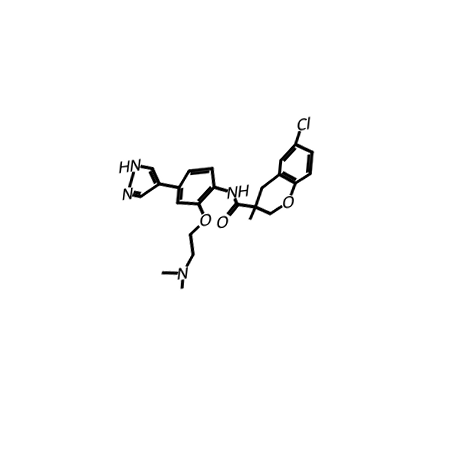 CN(C)CCOc1cc(-c2cn[nH]c2)ccc1NC(=O)C1(C)COc2ccc(Cl)cc2C1